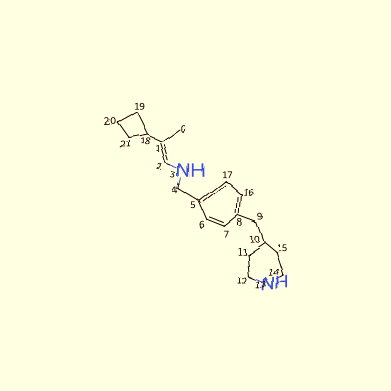 C/C(=C\NCc1ccc(CC2CCNCC2)cc1)C1CCC1